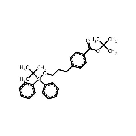 CC(C)(C)OC(=O)c1ccc([CH]CCO[Si](c2ccccc2)(c2ccccc2)C(C)(C)C)cc1